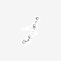 COCCn1c(CCNCCc2nc(C(=O)NCc3ncccc3F)co2)nc2cc(C#Cc3ccccn3)ccc21